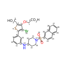 O=C(O)COc1c(C(=O)O)sc(-c2cccc(NC3CCN(S(=O)(=O)c4ccc5ccccc5c4)CC3)c2)c1Br